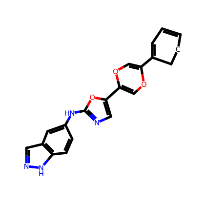 C1=CCCC(C2=COC(c3cnc(Nc4ccc5[nH]ncc5c4)o3)=CO2)=C1